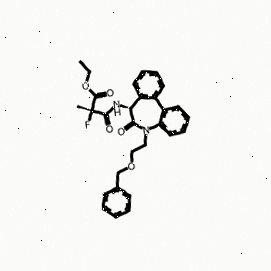 CCOC(=O)[C@@](C)(F)C(=O)N[C@@H]1C(=O)N(CCOCc2ccccc2)c2ccccc2-c2ccccc21